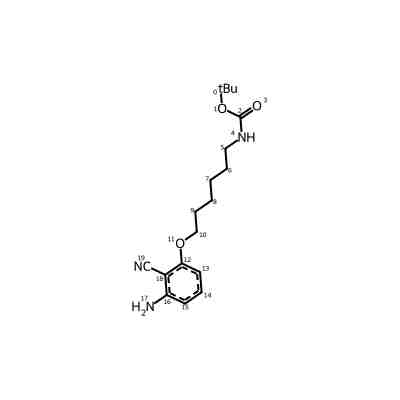 CC(C)(C)OC(=O)NCCCCCCOc1cccc(N)c1C#N